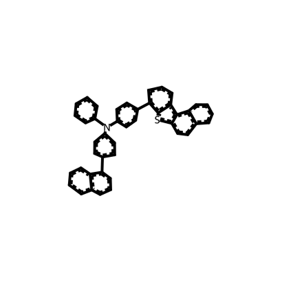 c1ccc(N(c2ccc(-c3cccc4ccccc34)cc2)c2ccc(-c3cccc4c3sc3ccc5ccccc5c34)cc2)cc1